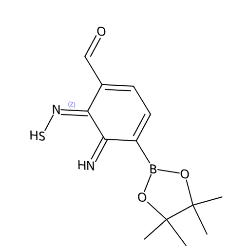 CC1(C)OB(C2=CC=C(C=O)/C(=N/S)C2=N)OC1(C)C